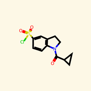 O=C(C1CC1)N1CCc2cc(S(=O)(=O)Cl)ccc21